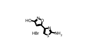 Br.Nc1nc(-c2cc(O)no2)cs1